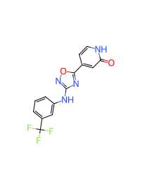 O=c1cc(-c2nc(Nc3cccc(C(F)(F)F)c3)no2)cc[nH]1